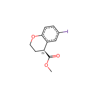 COC(=O)[C@H]1CCOc2ccc(I)cc21